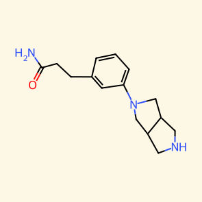 NC(=O)CCc1cccc(N2CC3CNCC3C2)c1